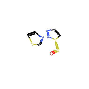 O=S=S1C=CN=N1.c1cscn1